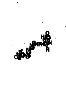 CC(C)c1cc(-c2cccc3cc(-c4ccc(C(=O)NCC#Cc5cc(C#N)c6cnn(C7CCC(=O)NC7=O)c6c5)nc4)ncc23)cc2c1n(C)c(=O)n2C